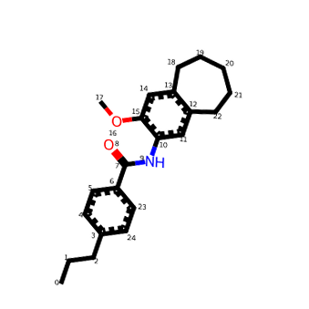 CCCc1ccc(C(=O)Nc2cc3c(cc2OC)CCCCC3)cc1